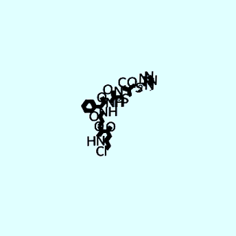 Cn1nnnc1SCC1=C(C(=O)O)N2C(=O)C(NC(=O)C(NC(=O)COc3c[nH]c(CCl)cc3=O)c3ccccc3)[C@@H]2SC1